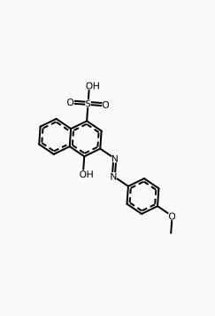 COc1ccc(N=Nc2cc(S(=O)(=O)O)c3ccccc3c2O)cc1